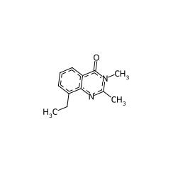 CCc1cccc2c(=O)n(C)c(C)nc12